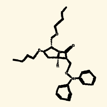 CCCCOC[C@H]1[C@@H](OCCCC)C[C@@H]2[C@H](CO[SiH](c3ccccc3)c3ccccc3)C(=O)N21